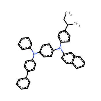 CCC(C)c1ccc(N(c2ccc(N(c3ccccc3)c3ccc(-c4ccccc4)cc3)cc2)c2ccc3ccccc3c2)cc1